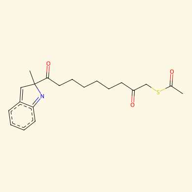 CC(=O)SCC(=O)CCCCCCC(=O)C1(C)C=c2ccccc2=N1